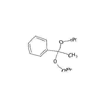 CCCOC(C)(OCCC)c1ccccc1